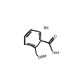 COc1ccccc1C(=O)[TeH].[KH]